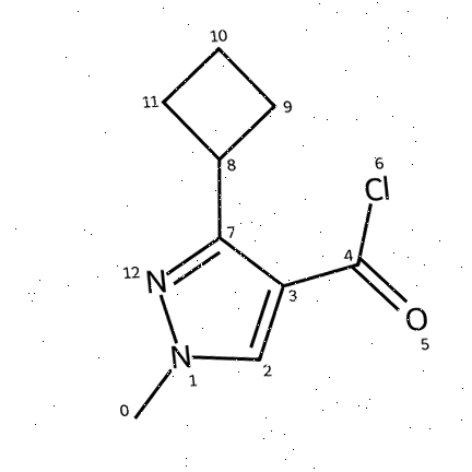 Cn1cc(C(=O)Cl)c(C2CCC2)n1